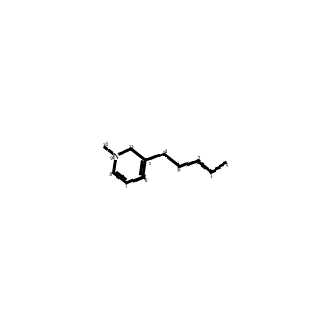 CCCCCC1=CC=CN(C)C1